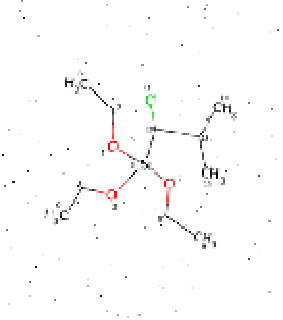 CCO[Si](OCC)(OCC)C(Cl)C(C)C